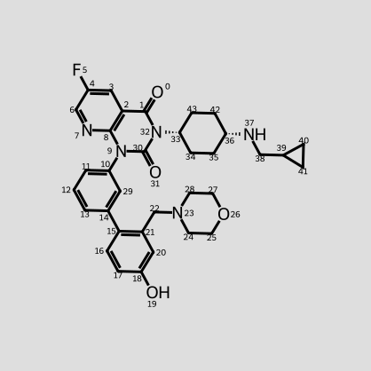 O=c1c2cc(F)cnc2n(-c2cccc(-c3ccc(O)cc3CN3CCOCC3)c2)c(=O)n1[C@H]1CC[C@@H](NCC2CC2)CC1